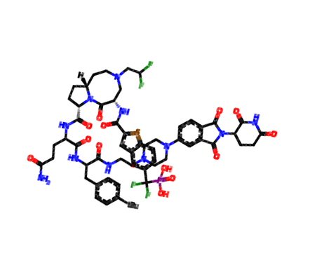 CC(C)(C)c1ccc(CC(NC(=O)C(CCC(N)=O)NC(=O)[C@@H]2CC[C@@H]3CCN(CC(F)F)C[C@H](NC(=O)c4cc5cc(C(F)(F)P(=O)(O)O)ccc5s4)C(=O)N32)C(=O)NCCN2CCN(c3ccc4c(c3)C(=O)N(C3CCC(=O)NC3=O)C4=O)CC2)cc1